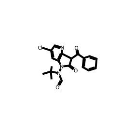 CC(C)(C)N(C=O)N1C(=O)C(C(=O)c2ccccc2)c2ncc(Cl)cc21